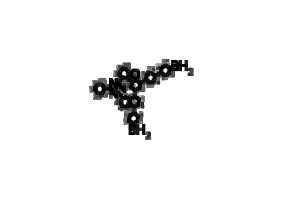 Bc1ccc(-c2ccc(-c3cc(-c4ccc(-c5ccc(B)cc5)cc4)c4oc5cccc(-c6nc(-c7ccccc7)nc(-c7ccccc7)n6)c5c4c3)cc2)cc1